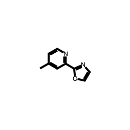 Cc1ccnc(-c2ncco2)c1